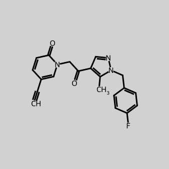 C#Cc1ccc(=O)n(CC(=O)c2cnn(Cc3ccc(F)cc3)c2C)c1